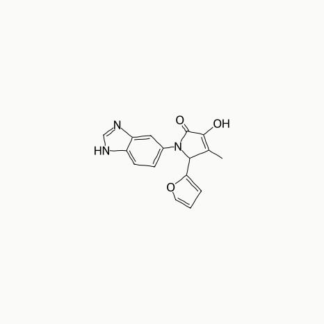 CC1=C(O)C(=O)N(c2ccc3[nH]cnc3c2)C1c1ccco1